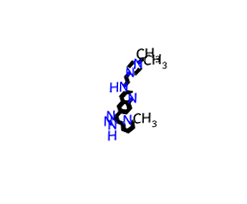 Cc1cccc(-c2[nH]nnc2-c2ccc3ncc(NCCN4CCN(C(C)C)CC4)cc3c2)n1